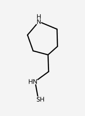 SNCC1CCNCC1